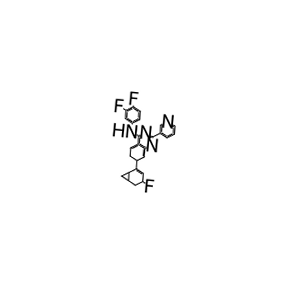 Fc1ccc(Nc2nc(-c3cccnc3)nc3c2=CCC(C2=CC(F)CC4CC24)C=3)cc1F